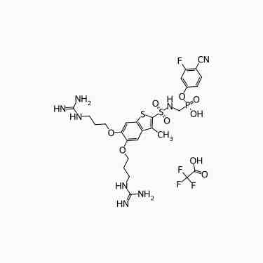 Cc1c(S(=O)(=O)NCP(=O)(O)Oc2ccc(C#N)c(F)c2)sc2cc(OCCCNC(=N)N)c(OCCCNC(=N)N)cc12.O=C(O)C(F)(F)F